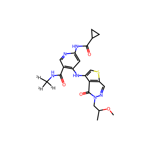 [2H]C([2H])([2H])NC(=O)c1cnc(NC(=O)C2CC2)cc1Nc1csc2cnn(CC(C)OC)c(=O)c12